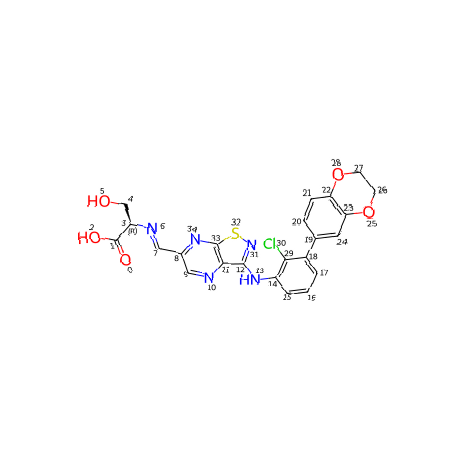 O=C(O)[C@@H](CO)N=Cc1cnc2c(Nc3cccc(-c4ccc5c(c4)OCCO5)c3Cl)nsc2n1